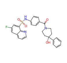 O=C(c1ccc(NS(=O)(=O)c2cc(F)cc3cccnc23)cc1)N1CCC(O)(c2ccccc2)CC1